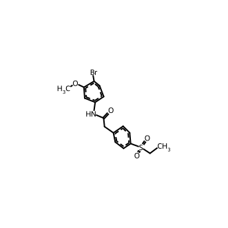 CCS(=O)(=O)c1ccc(CC(=O)Nc2ccc(Br)c(OC)c2)cc1